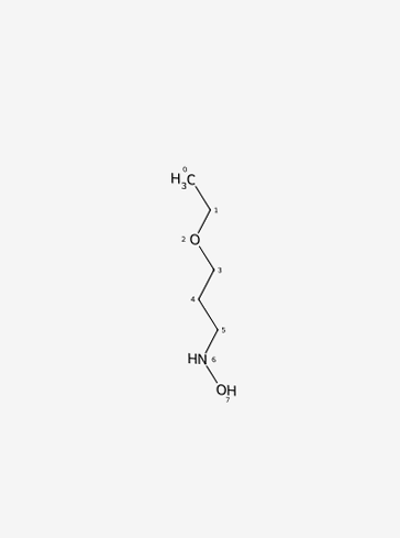 CCOCCCNO